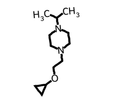 CC(C)N1CCN(CCOC2CC2)CC1